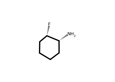 N[C@@H]1CCCC[C@@H]1F